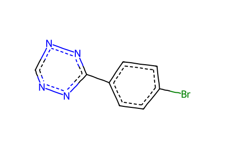 Brc1ccc(-c2nncnn2)cc1